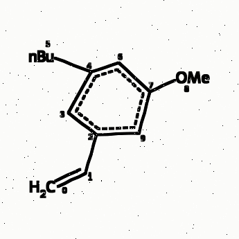 C=[C]c1cc(CCCC)cc(OC)c1